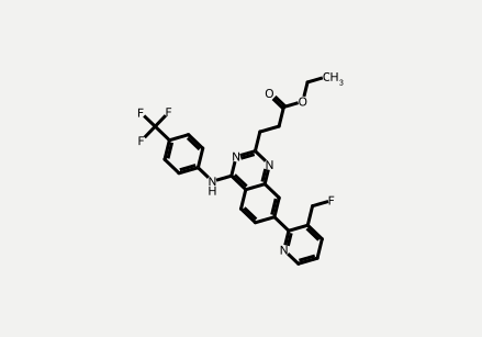 CCOC(=O)CCc1nc(Nc2ccc(C(F)(F)F)cc2)c2ccc(-c3ncccc3CF)cc2n1